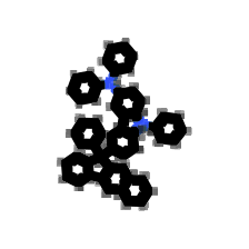 c1ccc(N(c2ccccc2)c2ccc3c(c2)c2cc(C4(c5ccccc5)c5ccccc5-c5cc6ccccc6cc54)ccc2n3-c2ccccc2)cc1